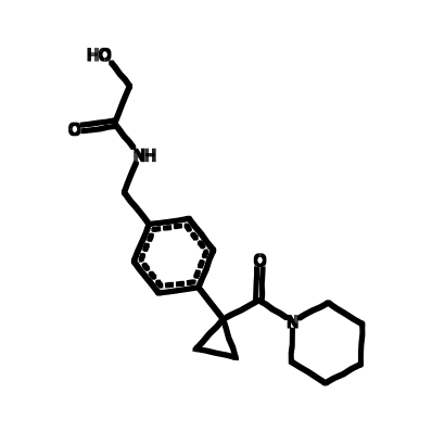 O=C(CO)NCc1ccc(C2(C(=O)N3CCCCC3)CC2)cc1